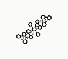 Cc1ccccc1N(c1c(C)ccc2c1oc1ccccc12)c1cccc2c1c1cccc3c4c(-c5ccccc5)c5c(c(-c6ccccc6)c4n2c13)c1cccc2c3c(N(c4ccccc4C)c4c(C)ccc6c4oc4ccccc46)cccc3n5c21